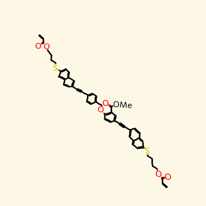 C=CC(=O)OCCCCSc1ccc2cc(C#Cc3ccc(COc4ccc(C#Cc5ccc6cc(SCCCCOC(=O)C=C)ccc6c5)cc4C(=O)OC)cc3)ccc2c1